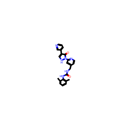 Cc1cccc(C)c1NC(=O)NCc1ccnc(-n2[nH]cc(-c3cccnc3)c2=O)c1